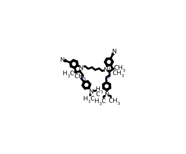 CCN(CC)c1ccc(/C=C/C2=[N+](CCCCCC[N+]3=C(/C=C/c4ccc(N(CC)CC)cc4)C(C)(C)c4cc(C#N)ccc43)c3ccc(C#N)cc3C2(C)C)cc1